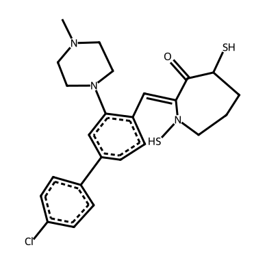 CN1CCN(c2cc(-c3ccc(Cl)cc3)ccc2C=C2C(=O)C(S)CCCN2S)CC1